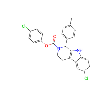 Cc1ccc(C2c3[nH]c4c(c3CCN2C(=O)Oc2ccc(Cl)cc2)=CC(Cl)CC=4)cc1